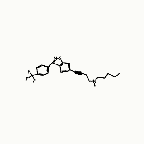 CCCCCN(C)CCC#Cc1ccc2c(-c3ccc(C(F)(F)F)cc3)nsc2c1